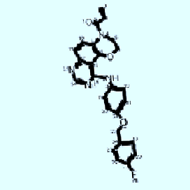 C=CC(=O)N1CCOc2c1ccc1ncnc(Nc3ccc(OCc4ccc(F)cc4)cc3)c21